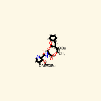 COc1ccnc(C(=O)N[C@H]2COC(=O)C(Cc3ccccc3)[C@@H](OCC(C)C)[C@H](C)OC2=O)c1OCOCC(C)C